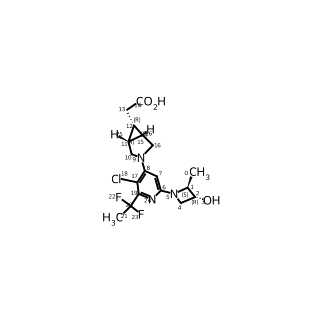 C[C@H]1[C@H](O)CN1c1cc(N2C[C@@H]3[C@H](CC(=O)O)[C@@H]3C2)c(Cl)c(C(C)(F)F)n1